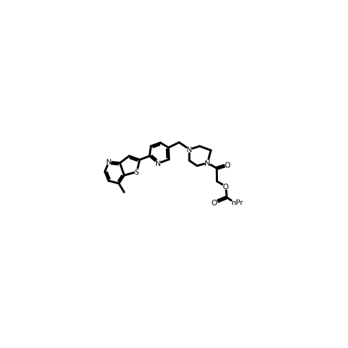 CCCC(=O)OCC(=O)N1CCN(Cc2ccc(-c3cc4nccc(C)c4s3)nc2)CC1